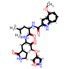 COc1cccc2[nH]c(C(=O)NC(CC(C)C)C(=O)NC(CC3CCNC3=O)C(=O)COc3cnoc3)cc12